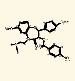 COc1ccc(C2Sc3ccc(OC)cc3N(CCN(C)C)C(=O)C2OC(=O)c2ccc([N+](=O)[O-])cc2)cc1